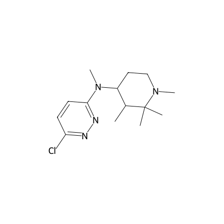 CC1C(N(C)c2ccc(Cl)nn2)CCN(C)C1(C)C